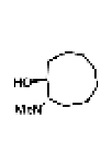 CN[C@H]1CCCCCCC[C@@H]1O